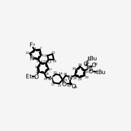 CCOc1cc(-c2ccc(F)cn2)c(C2CCC2)cc1CN1CCC2(CC1)CN(c1ccc(P(=O)(OC(C)(C)C)OC(C)(C)C)cc1)C(=O)O2